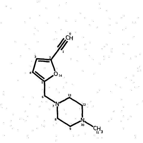 C#Cc1ccc(CN2CCN(C)CC2)o1